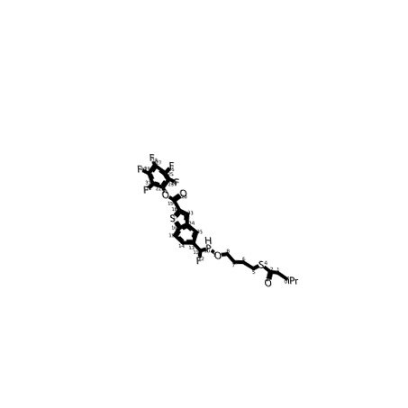 CC(C)CC(=O)SCCCCOPC(F)c1ccc2sc(C(=O)Oc3c(F)c(F)c(F)c(F)c3F)cc2c1